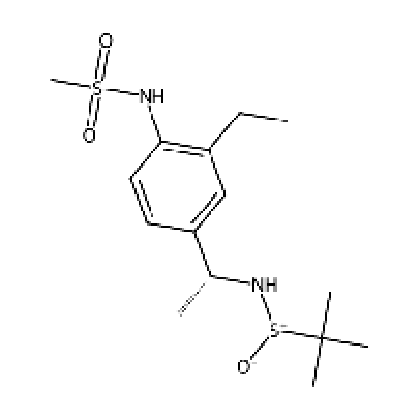 CCc1cc([C@@H](C)N[S+]([O-])C(C)(C)C)ccc1NS(C)(=O)=O